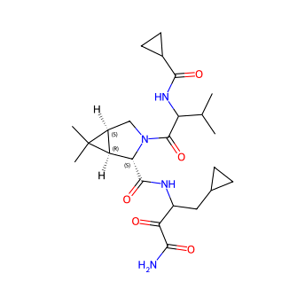 CC(C)C(NC(=O)C1CC1)C(=O)N1C[C@H]2[C@@H]([C@H]1C(=O)NC(CC1CC1)C(=O)C(N)=O)C2(C)C